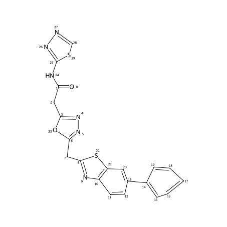 O=C(Cc1nnc(Cc2nc3ccc(-c4ccccc4)cc3s2)o1)Nc1nncs1